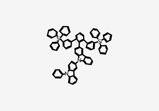 c1ccc(-n2c3ccccc3c3cc(-n4c5ccccc5c5cc(-c6c(-c7cccc([Si](c8ccccc8)(c8ccccc8)c8ccccc8)c7)cccc6-c6cccc([Si](c7ccccc7)(c7ccccc7)c7ccccc7)c6)ccc54)ccc32)cc1